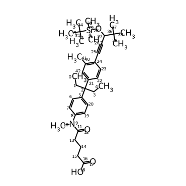 CCC(CC)(c1ccc(N(C)C(=O)CCCC(=O)O)cc1)c1ccc(C#CC(O[Si](C)(C)C(C)(C)C)C(C)(C)C)c(C)c1